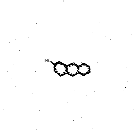 N#Cc1[c]cc2cc3ccccc3cc2c1